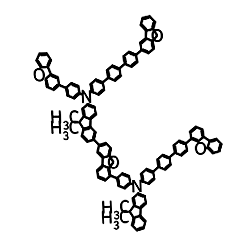 CC1(C)c2ccccc2-c2ccc(N(c3ccc(-c4ccc(-c5ccc(-c6cccc7c6oc6ccccc67)cc5)cc4)cc3)c3ccc(-c4cccc5c4oc4ccc(-c6ccc7c(c6)-c6ccc(N(c8ccc(-c9ccc(-c%10ccc(-c%11ccc%12oc%13ccccc%13c%12c%11)cc%10)cc9)cc8)c8ccc(-c9ccc%10oc%11ccccc%11c%10c9)cc8)cc6C7(C)C)cc45)cc3)cc21